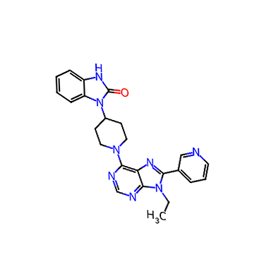 CCn1c(-c2cccnc2)nc2c(N3CCC(n4c(=O)[nH]c5ccccc54)CC3)ncnc21